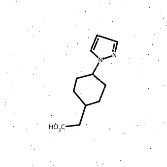 O=C(O)CC1CCC(n2cccn2)CC1